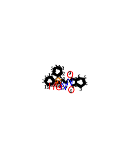 O=C1c2ccccc2C(=O)N1C(CP(=O)(c1ccccc1)c1ccccc1)=NO